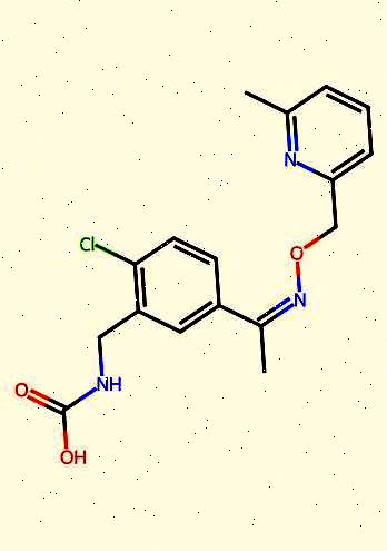 CC(=NOCc1cccc(C)n1)c1ccc(Cl)c(CNC(=O)O)c1